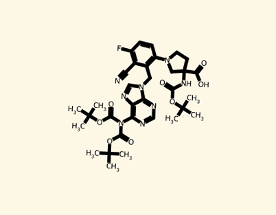 CC(C)(C)OC(=O)NC1(C(=O)O)CCN(c2ccc(F)c(C#N)c2Cn2cnc3c(N(C(=O)OC(C)(C)C)C(=O)OC(C)(C)C)ncnc32)C1